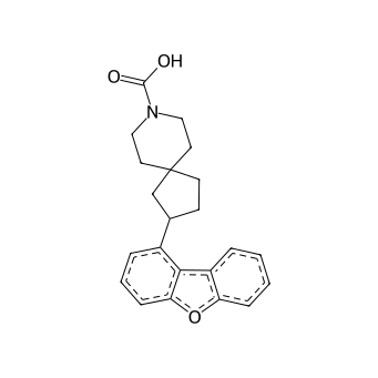 O=C(O)N1CCC2(CCC(c3cccc4oc5ccccc5c34)C2)CC1